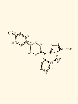 CC(=O)c1ccc(C(c2ccccc2O)N2CCN(c3ccc(Cl)cc3)CC2)s1